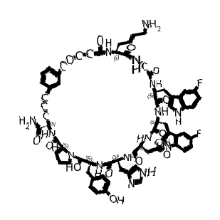 NCCCC[C@@H]1NC(=O)CCOCc2cccc(c2)CCC[C@@H](C(N)=O)NC(=O)[C@@H]2CCCN2C(O)[C@H](Cc2ccc(O)cc2)NC(=O)[C@H](Cc2c[nH]cn2)NC(=O)[C@H](CC(=O)O)NC(=O)[C@H](Cc2c[nH]c3ccc(F)cc23)NC(=O)[C@H](Cc2c[nH]c3ccc(F)cc23)NC(=O)CNC1=O